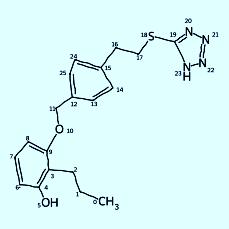 CCCc1c(O)[c]ccc1OCc1ccc(CCSc2nnn[nH]2)cc1